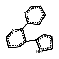 c1ccc(-c2ncccc2-c2ccc[nH]2)nc1